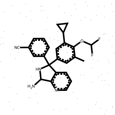 Cc1cc(C2(c3cccc(C#N)c3)NC(N)c3ncccc32)cc(C2CC2)c1OC(F)F